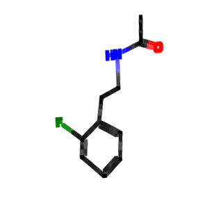 CC(=O)NCCc1ccccc1F